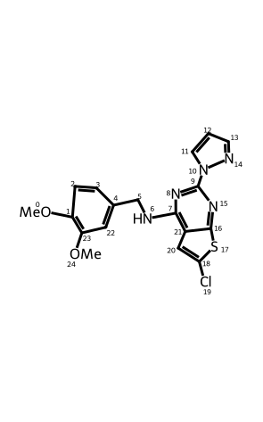 COc1ccc(CNc2nc(-n3cccn3)nc3sc(Cl)cc23)cc1OC